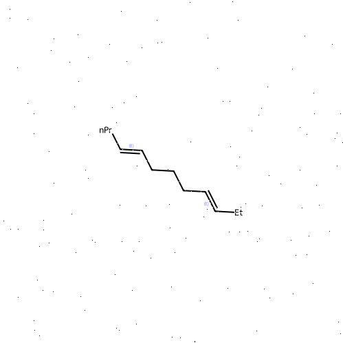 CC/C=C/CCC/C=C/CCC